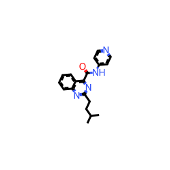 CC(C)CCc1nc(C(=O)Nc2ccncc2)c2ccccc2n1